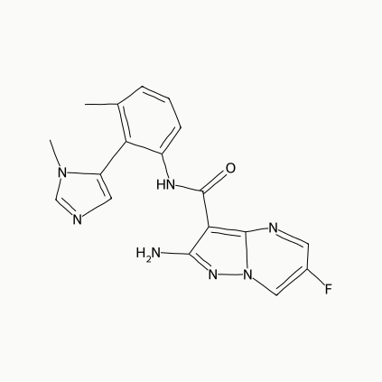 Cc1cccc(NC(=O)c2c(N)nn3cc(F)cnc23)c1-c1cncn1C